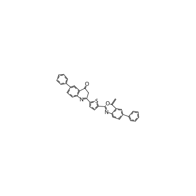 C=C1OC(c2ccc(C3=Nc4ccc(-c5ccccc5)cc4C(=O)C3)s2)=Nc2ccc(-c3ccccc3)cc21